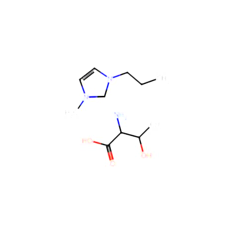 CC(O)C(N)C(=O)O.CCCN1C=CN(C)C1